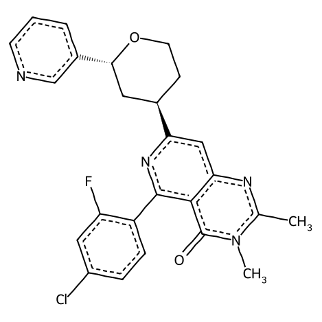 Cc1nc2cc([C@@H]3CCO[C@@H](c4cccnc4)C3)nc(-c3ccc(Cl)cc3F)c2c(=O)n1C